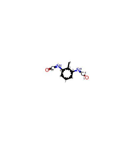 Cc1c([N+]=C=O)cccc1[N+]=C=O